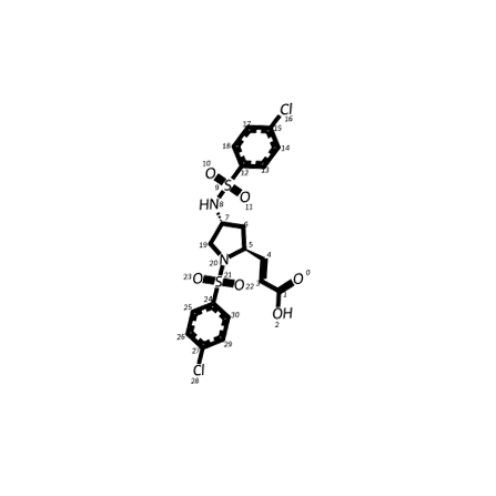 O=C(O)/C=C/[C@@H]1C[C@@H](NS(=O)(=O)c2ccc(Cl)cc2)CN1S(=O)(=O)c1ccc(Cl)cc1